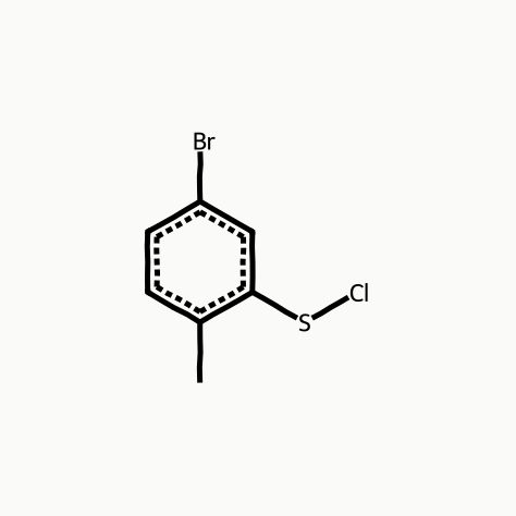 Cc1ccc(Br)cc1SCl